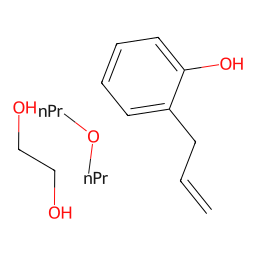 C=CCc1ccccc1O.CCCOCCC.OCCO